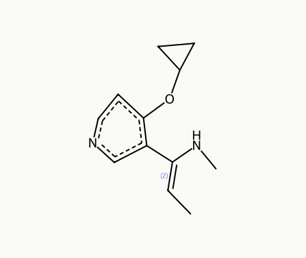 C/C=C(\NC)c1cnccc1OC1CC1